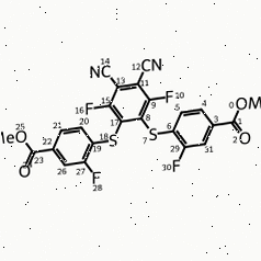 COC(=O)c1ccc(Sc2c(F)c(C#N)c(C#N)c(F)c2Sc2ccc(C(=O)OC)cc2F)c(F)c1